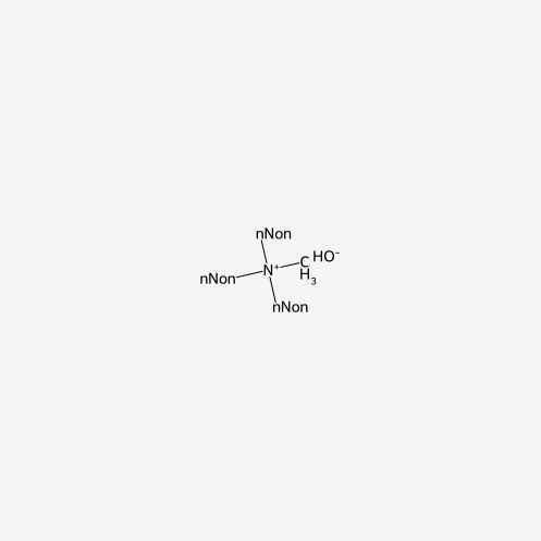 CCCCCCCCC[N+](C)(CCCCCCCCC)CCCCCCCCC.[OH-]